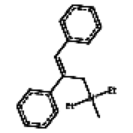 CC[N+](C)(CC)C/C(=C\c1ccccc1)c1ccccc1